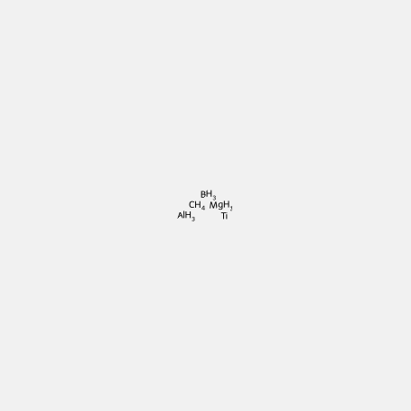 B.C.[AlH3].[MgH2].[Ti]